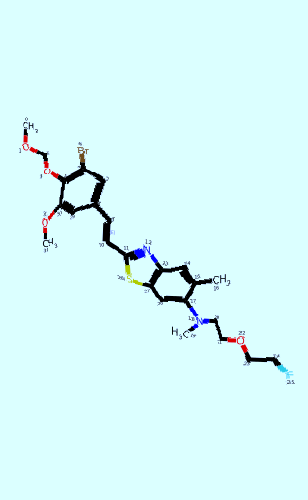 COCOc1c(Br)cc(/C=C/c2nc3cc(C)c(N(C)CCOCCF)cc3s2)cc1OC